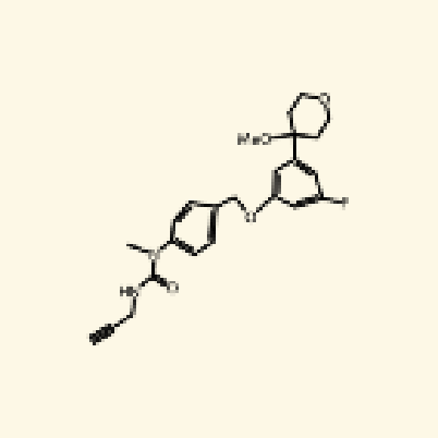 C#CCNC(=O)N(C)c1ccc(COc2cc(F)cc(C3(OC)CCOCC3)c2)cc1